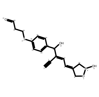 C#C/C(=C\C=C1\COB(O)C1)C(O)c1ccc(SCCC=O)cc1